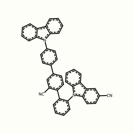 N#Cc1ccc2c(c1)c1ccccc1n2-c1ccccc1-c1ccc(-c2ccc(-n3c4ccccc4c4ccccc43)cc2)cc1C#N